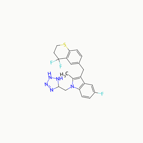 Cc1c(Cc2ccc3c(c2)C(F)(F)CCS3)c2cc(F)ccc2n1CC1N=NNN1